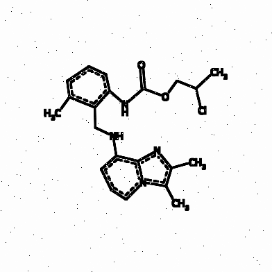 Cc1cccc(NC(=O)OCC(C)Cl)c1CNc1cccn2c(C)c(C)nc12